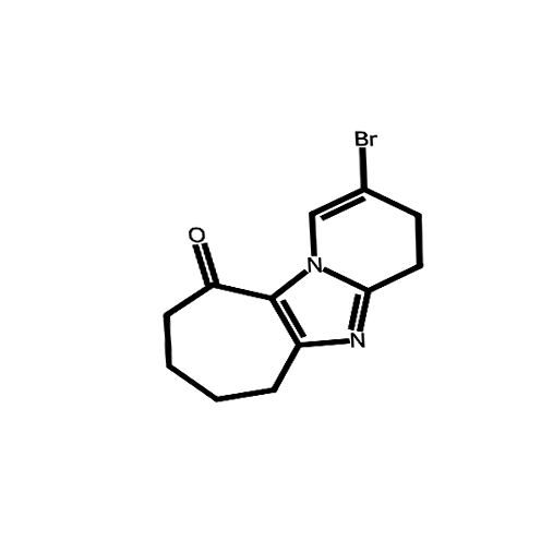 O=C1CCCCc2nc3n(c21)C=C(Br)CC3